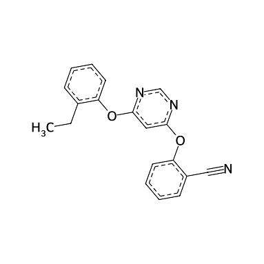 CCc1ccccc1Oc1cc(Oc2ccccc2C#N)ncn1